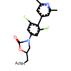 CC(=O)NCC1CN(c2cc(F)c(-c3cc(C)nc(C)c3)c(F)c2)C(=O)O1